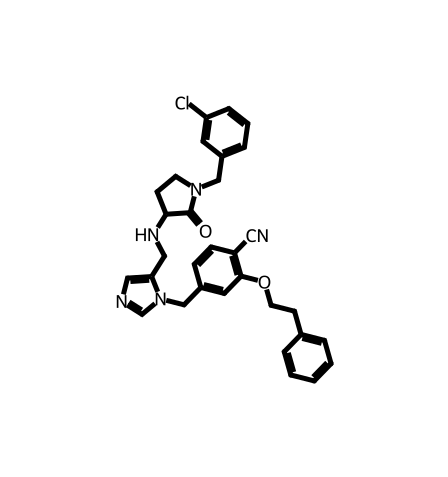 N#Cc1ccc(Cn2cncc2CNC2CCN(Cc3cccc(Cl)c3)C2=O)cc1OCCc1ccccc1